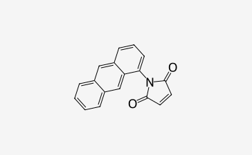 O=C1C=CC(=O)N1c1cccc2cc3ccccc3cc12